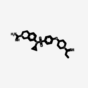 CCC(=N)N1CCC(Oc2ccc(S(=O)(=O)N(c3ccc4c(c3)CN(C(=N)N)CC4)C3CC3)cc2)CC1